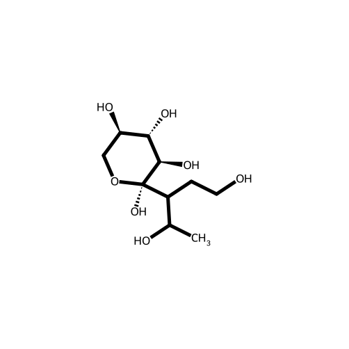 CC(O)C(CCO)[C@@]1(O)OC[C@@H](O)[C@H](O)[C@H]1O